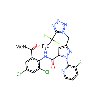 CNC(=O)c1cc(Cl)cc(Cl)c1NC(=O)c1cc(Cn2nnnc2C(F)(F)C(F)(F)F)nn1-c1ncccc1Cl